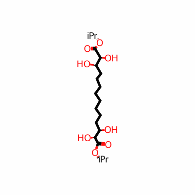 CC(C)OC(=O)[C@@H](O)[C@H](O)CCCCCCCC[C@@H](O)[C@H](O)C(=O)OC(C)C